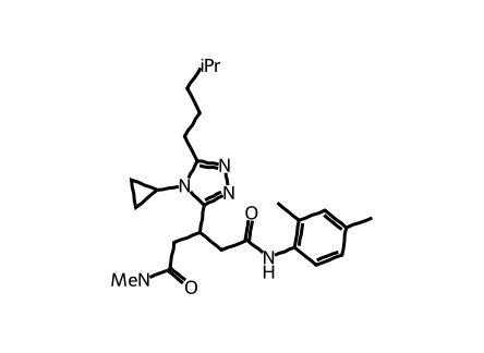 CNC(=O)CC(CC(=O)Nc1ccc(C)cc1C)c1nnc(CCCC(C)C)n1C1CC1